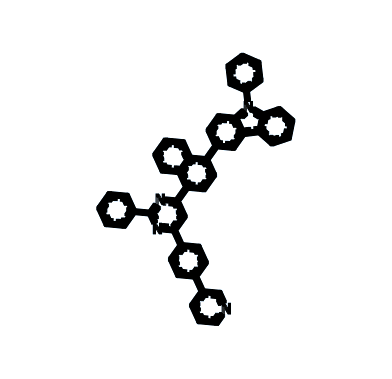 c1ccc(-c2nc(-c3ccc(-c4cccnc4)cc3)cc(-c3ccc(-c4ccc5c(c4)c4ccccc4n5-c4ccccc4)c4ccccc34)n2)cc1